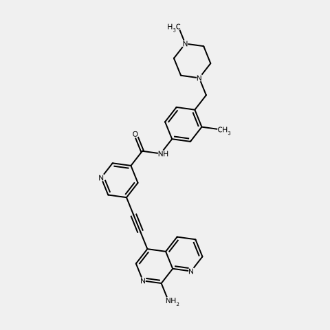 Cc1cc(NC(=O)c2cncc(C#Cc3cnc(N)c4ncccc34)c2)ccc1CN1CCN(C)CC1